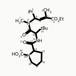 CCOC(=O)/C(C)=C/C(C(C)C)N(C)C(=O)C(NC(=O)C1CCCCN1C(=O)O)C(C)(C)C